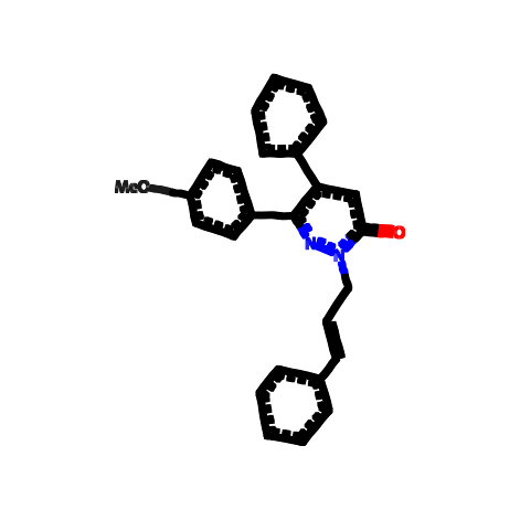 COc1ccc(-c2nn(C/C=C/c3ccccc3)c(=O)cc2-c2ccccc2)cc1